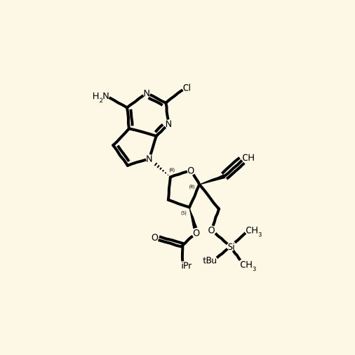 C#C[C@]1(CO[Si](C)(C)C(C)(C)C)O[C@@H](n2ccc3c(N)nc(Cl)nc32)C[C@@H]1OC(=O)C(C)C